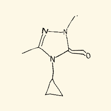 [CH2]n1nc(C)n(C2CC2)c1=O